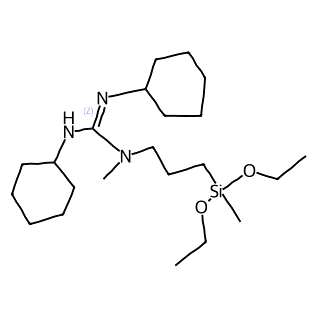 CCO[Si](C)(CCCN(C)/C(=N\C1CCCCC1)NC1CCCCC1)OCC